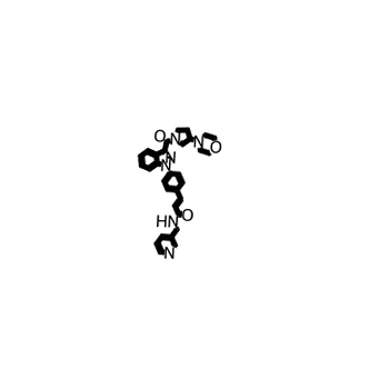 O=C(C=Cc1ccc(-n2nc(C(=O)N3CCC(N4CCOCC4)C3)c3ccccc32)cc1)NCc1cccnc1